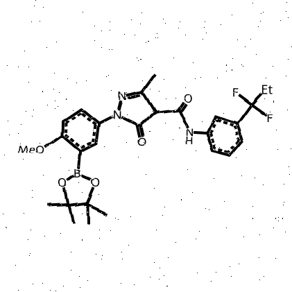 CCC(F)(F)c1cccc(NC(=O)C2C(=O)N(c3ccc(OC)c(B4OC(C)(C)C(C)(C)O4)c3)N=C2C)c1